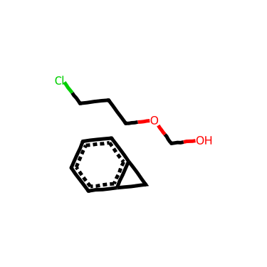 OCOCCCCl.c1ccc2c(c1)C2